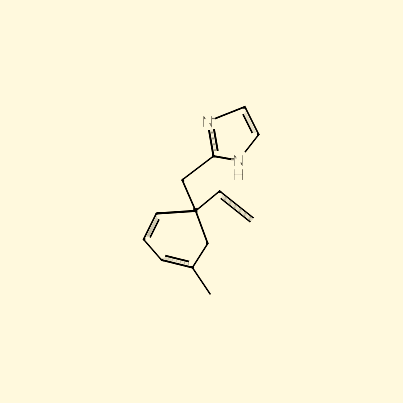 C=CC1(Cc2ncc[nH]2)C=CC=C(C)C1